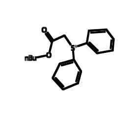 CCCCOC(=O)C[S+](c1ccccc1)c1ccccc1